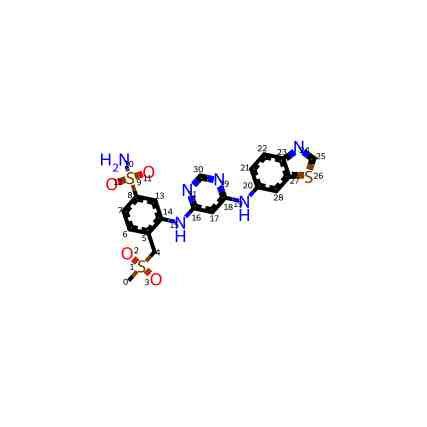 CS(=O)(=O)Cc1ccc(S(N)(=O)=O)cc1Nc1cc(Nc2ccc3ncsc3c2)ncn1